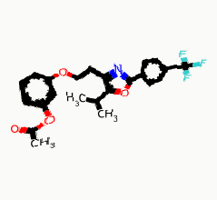 CC(=O)Oc1cccc(OCCc2nc(-c3ccc(C(F)(F)F)cc3)oc2C(C)C)c1